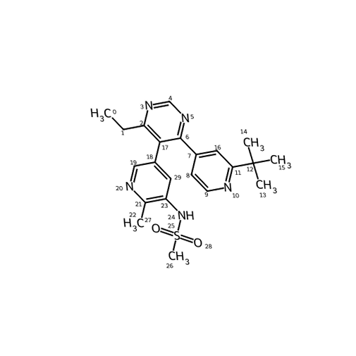 CCc1ncnc(-c2ccnc(C(C)(C)C)c2)c1-c1cnc(C)c(NS(C)(=O)=O)c1